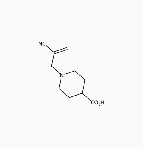 C=C(C#N)CN1CCC(C(=O)O)CC1